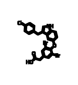 O=C(O)Cc1cc(Br)c(Oc2ccc3[nH]cc(Cc4ccc(Cl)cc4)c3c2)c(Br)c1